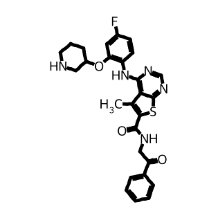 Cc1c(C(=O)NCC(=O)c2ccccc2)sc2ncnc(Nc3ccc(F)cc3OC3CCCNC3)c12